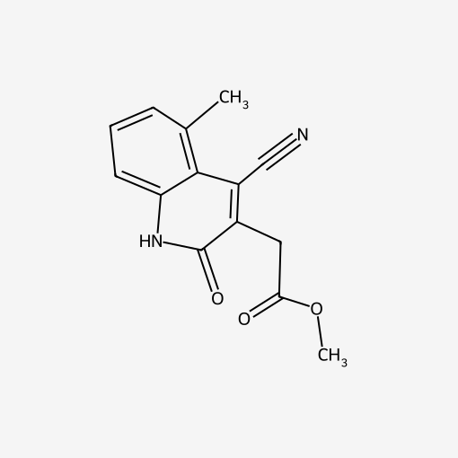 COC(=O)Cc1c(C#N)c2c(C)cccc2[nH]c1=O